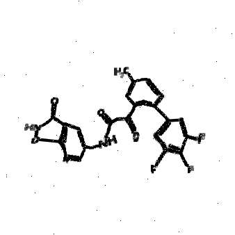 Cc1ccc(-c2cc(F)c(F)c(F)c2)c(C(=O)C(=O)Nc2cnc3o[nH]c(=O)c3c2)c1